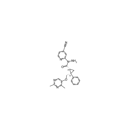 Cc1ncc(OC[C@@]2(c3ccccc3)C[C@H]2C(=O)N(N)c2cc(C#N)ccn2)c(C)n1